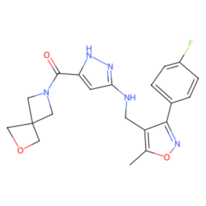 Cc1onc(-c2ccc(F)cc2)c1CNc1cc(C(=O)N2CC3(COC3)C2)[nH]n1